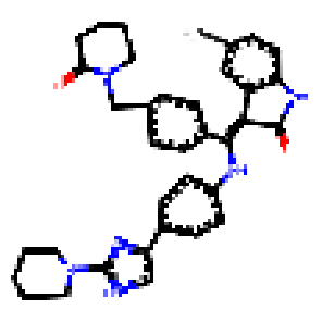 O=C1Nc2ccc([N+](=O)[O-])cc2C1=C(Nc1ccc(-c2c[nH]c(N3CCCCC3)n2)cc1)c1ccc(CN2CCCCC2=O)cc1